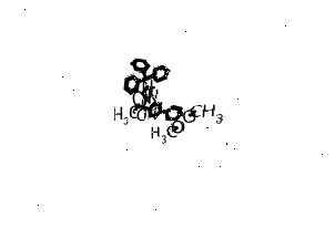 COc1ccc(-c2ccc(C(O)(c3cn(C(c4ccccc4)(c4ccccc4)c4ccccc4)cn3)C(C)C)cc2)cc1OC